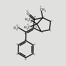 CC12CCC(C(=C(c3ccccc3)[N+](=O)[O-])C1=O)C2(C)C